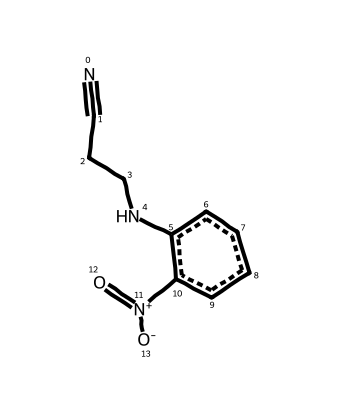 N#CCCNc1ccccc1[N+](=O)[O-]